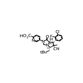 CC(C)(C)C[C@@H]1N2CN(c3ccc(C(=O)O)nc3)C(=O)[C@H]2[C@H](c2cccc(Cl)c2F)[C@]1(C)C#N